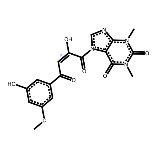 COc1cc(O)cc(C(=O)/C=C(/O)C(=O)n2cnc3c2c(=O)n(C)c(=O)n3C)c1